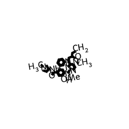 C=CCC1CN(c2ccccc2)c2nc(Nc3ccc(C(=O)N[C@H]4CCN(C)C4)cc3OC)ncc2N(C)C1=O